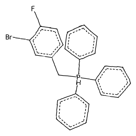 Fc1ccc(C[PH](c2ccccc2)(c2ccccc2)c2ccccc2)cc1Br